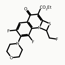 CCOC(=O)c1c2n(c3c(F)c(N4CCOCC4)c(F)cc3c1=O)C(CF)S2